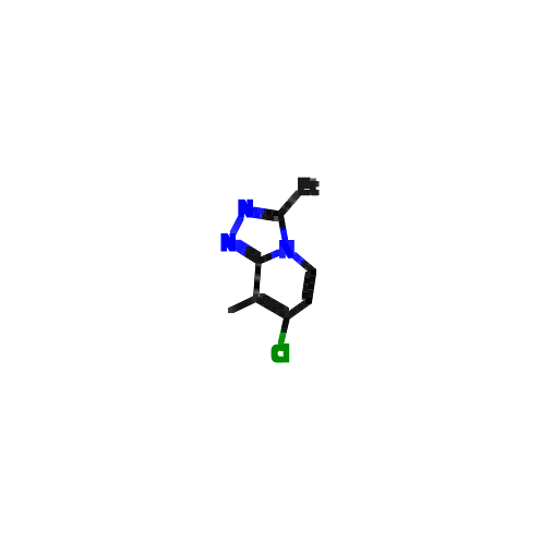 CCc1nnc2c(C)c(Cl)ccn12